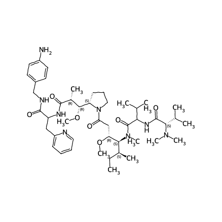 CC[C@H](C)[C@@H]([C@@H](CC(=O)N1CCC[C@H]1[C@H](OC)[C@@H](C)C(=O)NC(Cc1ccccn1)C(=O)NCc1ccc(N)cc1)OC)N(C)C(=O)C(NC(=O)[C@H](C(C)C)N(C)C)C(C)C